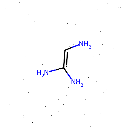 NC=C(N)N